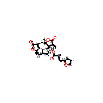 C=C1C(=O)O[C@H]2CC3=C[C@@H](C/C(C)=C/[C@@H](OC(=O)/C=C/c4ccco4)[C@H]12)OC3=O